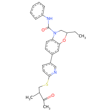 CCC1CN(C(=O)Nc2ccccc2)c2ccc(-c3ccc(SCC(C)C(C)=O)nc3)cc2O1